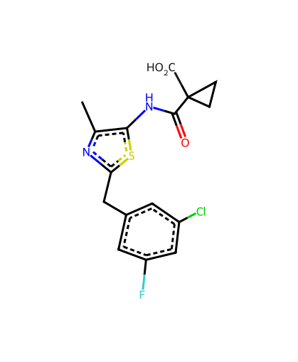 Cc1nc(Cc2cc(F)cc(Cl)c2)sc1NC(=O)C1(C(=O)O)CC1